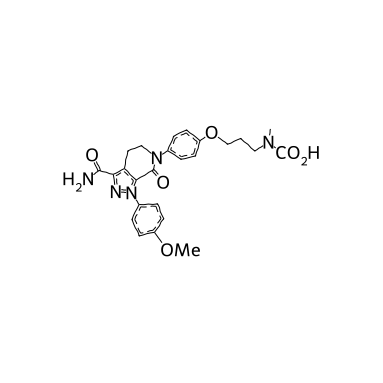 COc1ccc(-n2nc(C(N)=O)c3c2C(=O)N(c2ccc(OCCCN(C)C(=O)O)cc2)CC3)cc1